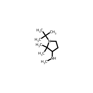 CNC1CCN(C(C)(C)C)C1(C)C